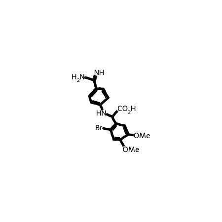 COc1cc(Br)c(C(Nc2ccc(C(=N)N)cc2)C(=O)O)cc1OC